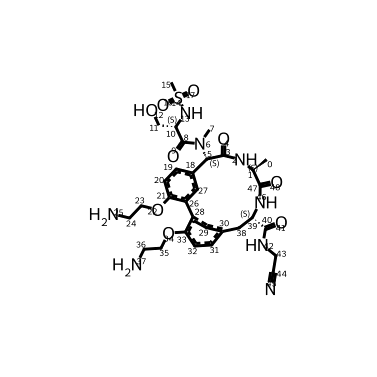 C[C@@H]1NC(=O)[C@@H](N(C)C(=O)[C@H](CO)NS(C)(=O)=O)c2ccc(OCCN)c(c2)-c2cc(ccc2OCCN)C[C@@H](C(=O)NCC#N)NC1=O